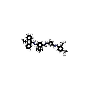 CCN1c2ccccc2C(/C=C/c2ccc(/C=C/c3ccc(/C=C/c4ccc(N(C)C)cc4OC)s3)c3nsnc23)c2ccccc21